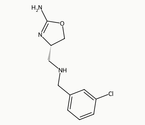 NC1=N[C@@H](CNCc2cccc(Cl)c2)CO1